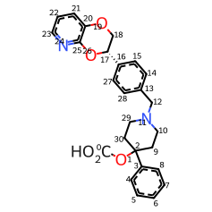 O=C(O)OC1(c2ccccc2)CCN(Cc2ccc([C@H]3COc4cccnc4O3)cc2)CC1